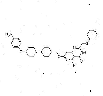 Nc1ccc(OC2CCN(C3CCC(COc4cc(F)c5c(=O)[nH]c(CSC6CCOCC6)nc5c4)CC3)CC2)cc1